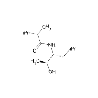 CC(C)C[C@@H](NC(=O)[C@@H](C)C(C)C)[C@H](C)O